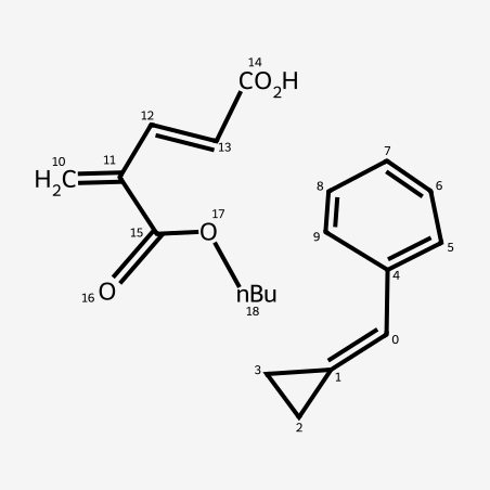 C(=C1CC1)c1ccccc1.C=C(C=CC(=O)O)C(=O)OCCCC